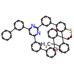 CC1(C)c2ccccc2C2(c3ccccc3Sc3ccc(-c4cccc(-c5nc(-c6cccc(-c7ccccc7)c6)cc(-c6cccc(-c7ccccc7)c6)n5)c4)cc32)c2ccccc21